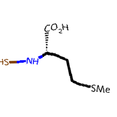 CSCC[C@H](NS)C(=O)O